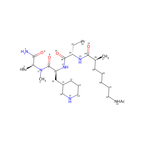 CCCC[C@@H](C(N)=O)N(C)C(=O)[C@H](CC1CCCNC1)NC(=O)[C@H](CC(C)C)NC(=O)[C@@H](C)CCCCCNC(C)=O